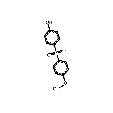 O=S(=O)(c1ccc(O)cc1)c1ccc(OC(Cl)(Cl)Cl)cc1